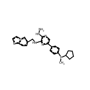 CP(c1ccc(-c2cnc(NN)c(NCc3ccc4nccn4c3)n2)cc1)C1CCCC1